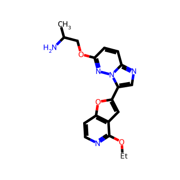 CCOc1nccc2oc(-c3cnc4ccc(OCC(C)N)nn34)cc12